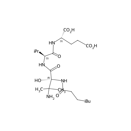 CCC(C)CCC(=O)N[C@](O)(C(=O)N[C@H](C(=O)N[C@@H](CCC(=O)O)C(=O)O)C(C)C)C(C)(C)N